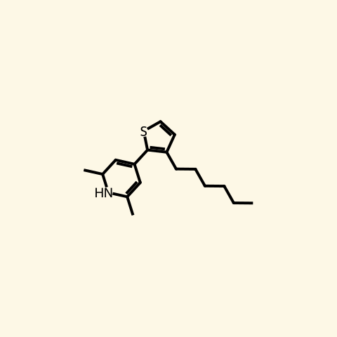 CCCCCCc1ccsc1C1=CC(C)NC(C)=C1